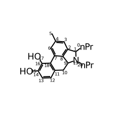 CCCC1c2cc(C)cc3c2C(Cc2ccc(O)c(O)c2-3)N1CCC